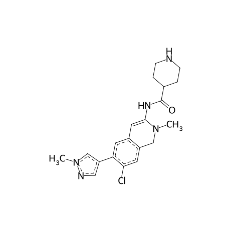 CN1Cc2cc(Cl)c(-c3cnn(C)c3)cc2C=C1NC(=O)C1CCNCC1